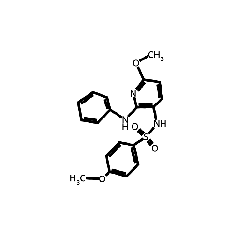 COc1ccc(S(=O)(=O)Nc2ccc(OC)nc2Nc2ccccc2)cc1